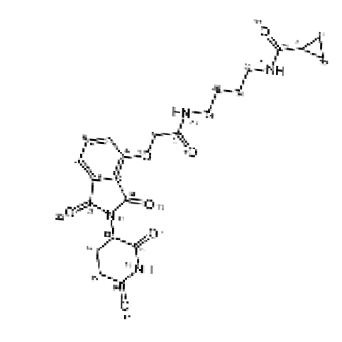 O=C(COc1cccc2c1C(=O)N(C1CCC(=O)NC1=O)C2=O)NCCCCNC(=O)C1CC1